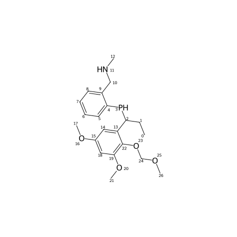 CCC(Pc1ccccc1CNC)c1cc(OC)cc(OC)c1OCOC